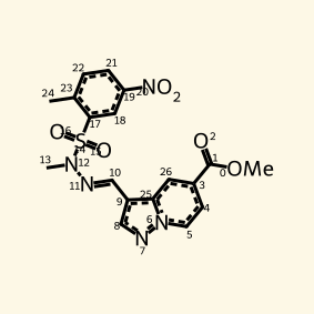 COC(=O)c1ccn2ncc(C=NN(C)S(=O)(=O)c3cc([N+](=O)[O-])ccc3C)c2c1